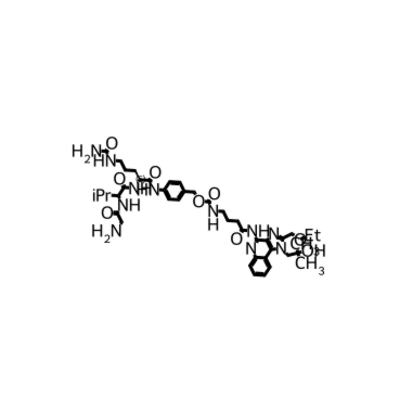 CCOCc1nc2c(NC(=O)CCCNC(=O)OCc3ccc(NC(=O)[C@H](CCCNC(N)=O)NC(=O)C(NC(=O)CN)C(C)C)cc3)nc3ccccc3c2n1CC(C)(C)O